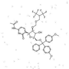 COc1ccc(C(OC[C@H]2O[C@@H](n3ccc(NC(C)=O)nc3=O)[C@@H](OCOCC(C(F)(F)F)C(F)(F)F)C2O)(c2ccccc2)c2ccc(OC)cc2)cc1